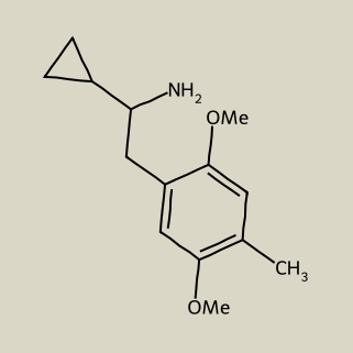 COc1cc(CC(N)C2CC2)c(OC)cc1C